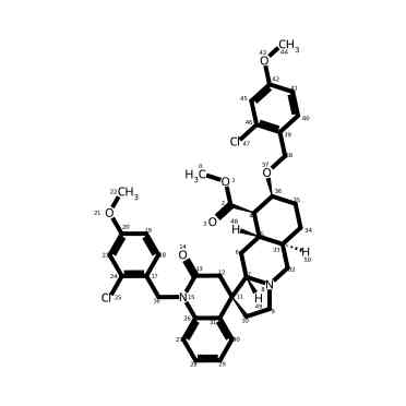 COC(=O)[C@@H]1[C@H]2C[C@@H]3N(CC[C@@]34CC(=O)N(Cc3ccc(OC)cc3Cl)c3ccccc34)C[C@@H]2CC[C@@H]1OCc1ccc(OC)cc1Cl